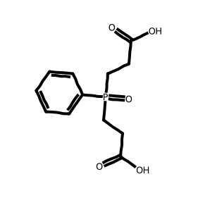 O=C(O)CCP(=O)(CCC(=O)O)c1ccccc1